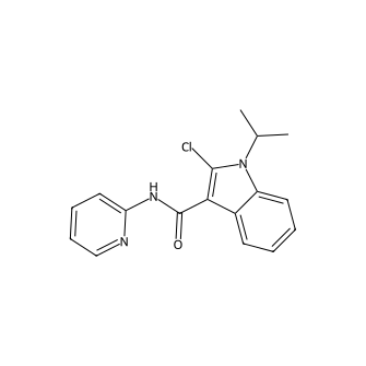 CC(C)n1c(Cl)c(C(=O)Nc2ccccn2)c2ccccc21